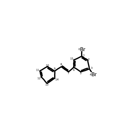 Brc1cc(Br)cc(/C=C/c2ccccc2)c1